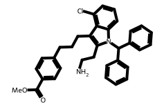 COC(=O)c1ccc(CCCc2c(CCN)n(C(c3ccccc3)c3ccccc3)c3cccc(Cl)c23)cc1